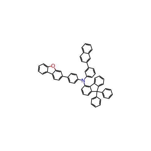 c1ccc(C2(c3ccccc3)c3ccccc3-c3c(N(c4ccc(-c5ccc6c(c5)oc5ccccc56)cc4)c4cccc(-c5ccc6ccccc6c5)c4)cccc32)cc1